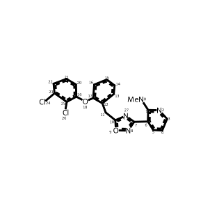 CNc1ncccc1-c1noc(Cc2ccccc2Oc2cccc(Cl)c2Cl)n1